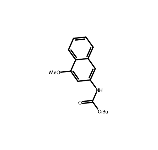 COc1cc(NC(=O)OCC(C)C)cc2ccccc12